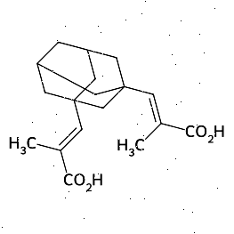 CC(=CC12CC3CC(C1)CC(C=C(C)C(=O)O)(C3)C2)C(=O)O